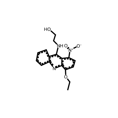 CCOc1ccc([N+](=O)[O-])c2c(NCCO)c3ccccc3nc12